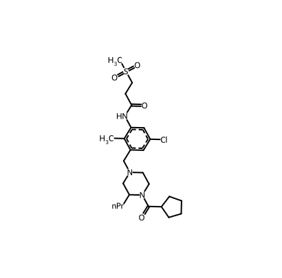 CCCC1CN(Cc2cc(Cl)cc(NC(=O)CCS(C)(=O)=O)c2C)CCN1C(=O)C1CCCC1